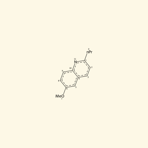 CCCc1ccc2cc(OC)ccc2n1